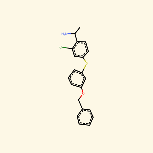 C[C](N)c1ccc(Sc2cccc(OCc3ccccc3)c2)cc1Cl